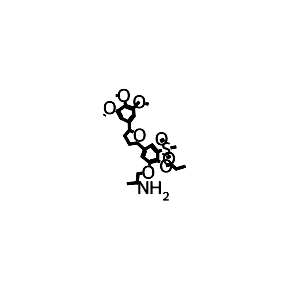 CCCOc1c(OCC(C)N)cc(C2CCC(c3cc(OC)c(OC)c(OC)c3)O2)cc1S(C)(=O)=O